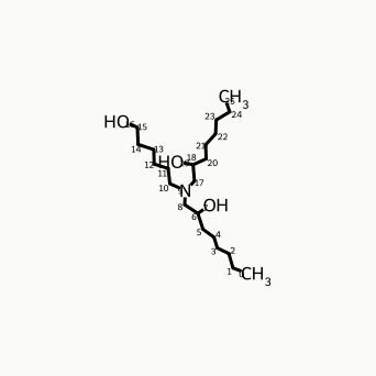 CCCCCCC(O)CN(CCCCCCO)CC(O)CCCCCC